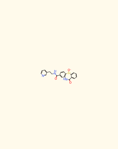 O=C(NCCc1cccnc1)c1ccc2c(c1)NC(=O)c1ccccc1[S+]2[O-]